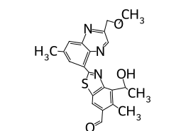 COCc1cnc2c(-c3nc4c(C(C)O)c(C)c(C=O)cc4s3)cc(C)cc2n1